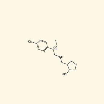 C/C=C(/CNCC1CCCC1CCC)c1ccc(N=O)cn1